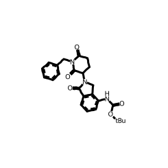 CC(C)(C)OC(=O)Nc1cccc2c1CN(C1CCC(=O)N(Cc3ccccc3)C1=O)C2=O